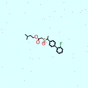 CC(C)CCOC(=O)C[S+]([O-])C(C)c1ccc(-c2ccccc2F)cc1